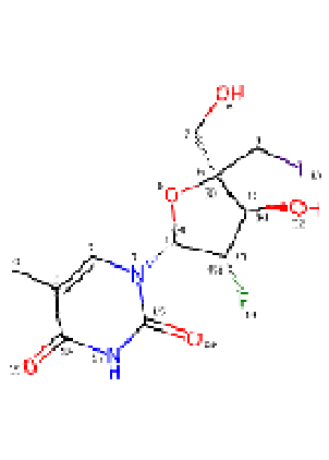 Cc1cn([C@@H]2O[C@@](CO)(CI)[C@@H](O)[C@@H]2F)c(=O)[nH]c1=O